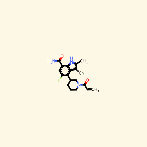 C=CC(=O)N1CCCC(c2c(F)cc(C(N)=O)c3[nH]c(C)c(C#N)c23)C1